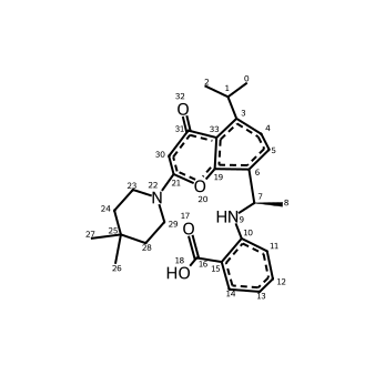 CC(C)c1ccc([C@@H](C)Nc2ccccc2C(=O)O)c2oc(N3CCC(C)(C)CC3)cc(=O)c12